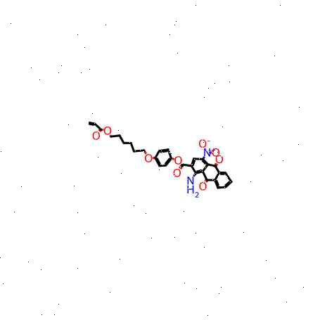 C=CC(=O)OCCCCCCOc1ccc(OC(=O)c2cc([N+](=O)[O-])c3c(c2N)C(=O)c2ccccc2C3=O)cc1